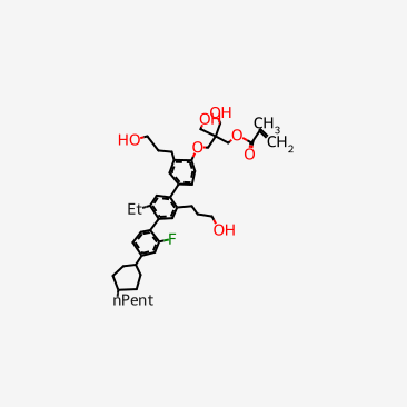 C=C(C)C(=O)OCC(CO)(CO)COc1ccc(-c2cc(CC)c(-c3ccc(C4CCC(CCCCC)CC4)cc3F)cc2CCCO)cc1CCCO